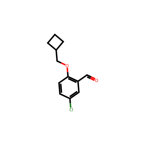 O=Cc1cc(Cl)ccc1OCC1CCC1